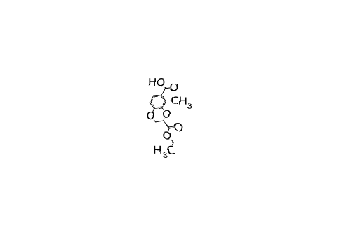 CCOC(=O)[C@H]1COc2ccc(C(=O)O)c(C)c2O1